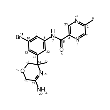 Cc1cnc(C(=O)Nc2cc(Br)cc(C3(C)COCC(N)=N3)c2)cn1